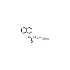 CCCCCCCCCCCCOC(=O)Oc1cccc2ccccc12